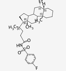 CC[C@H]1CC2C3CC[C@H]([C@H](C)CCC(=O)NS(=O)(=O)c4ccc(F)cc4)[C@@]3(C)CCC2[C@@]2(C)CCCC[C@@H]12